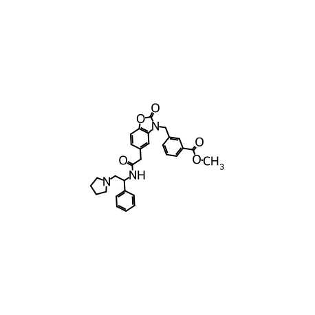 COC(=O)c1cccc(Cn2c(=O)oc3ccc(CC(=O)NC(CN4CCCC4)c4ccccc4)cc32)c1